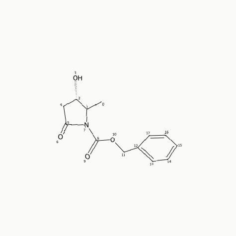 CC1[C@@H](O)CC(=O)N1C(=O)OCc1ccccc1